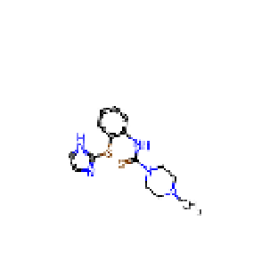 CN1CCN(C(=S)Nc2ccccc2Sc2ncc[nH]2)CC1